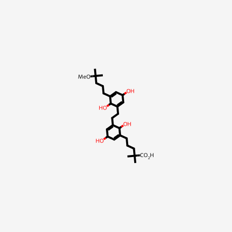 COC(C)(C)CCCC1=CC(O)C=C(CCC2=CC(O)C=C(CCCC(C)(C)C(=O)O)C2O)C1O